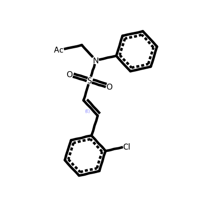 CC(=O)CN(c1ccccc1)S(=O)(=O)/C=C/c1ccccc1Cl